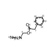 [N-]=[N+]=NCOC(=O)Cc1ccccc1